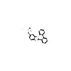 CP(C)(=O)Cc1ccc2nc3c4ccccc4c4ccccc4n3c2c1